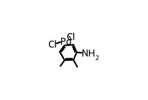 Cc1cccc(N)c1C.[Cl][Pd][Cl]